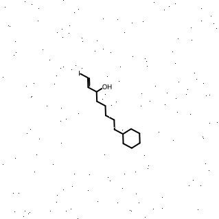 OC(C=CI)CCCCCC1CCCCC1